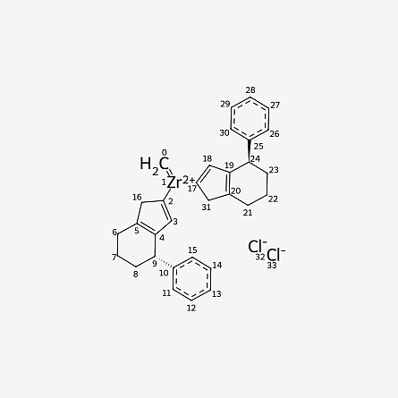 [CH2]=[Zr+2]([C]1=CC2=C(CCC[C@H]2c2ccccc2)C1)[C]1=CC2=C(CCC[C@@H]2c2ccccc2)C1.[Cl-].[Cl-]